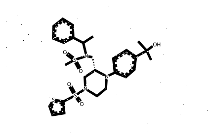 CC(c1ccccc1)N(C[C@H]1CN(S(=O)(=O)c2cccs2)CCN1c1ccc(C(C)(C)O)cc1)S(C)(=O)=O